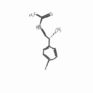 CC(=O)N[C@H](C)c1ccc(F)cc1